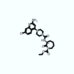 CCOC(=O)N1CCCC[C@H](NC(=O)N2CCN(c3cc(N)nc4cc(Cl)ccc34)CC2)C1=O